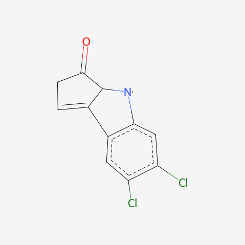 O=C1CC=C2c3cc(Cl)c(Cl)cc3[N]C12